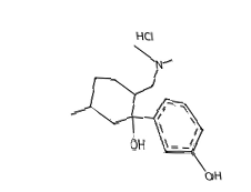 CC1CCC(CN(C)C)C(O)(c2cccc(O)c2)C1.Cl